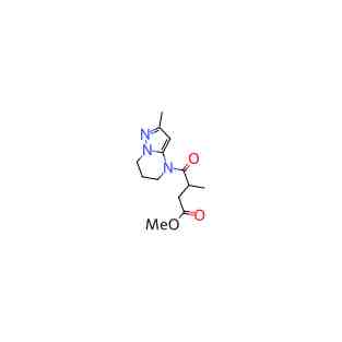 COC(=O)CC(C)C(=O)N1CCCn2nc(C)cc21